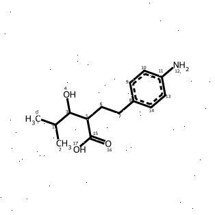 CC(C)C(O)C(CCc1ccc(N)cc1)C(=O)O